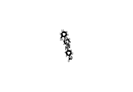 COc1ccc(/N=N/N2CCN(c3ccccc3C)CC2)cc1